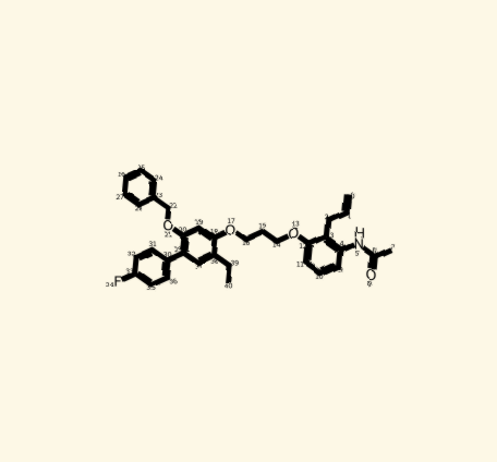 C=CCc1c(NC(C)=O)cccc1OCCCOc1cc(OCc2ccccc2)c(-c2ccc(F)cc2)cc1CC